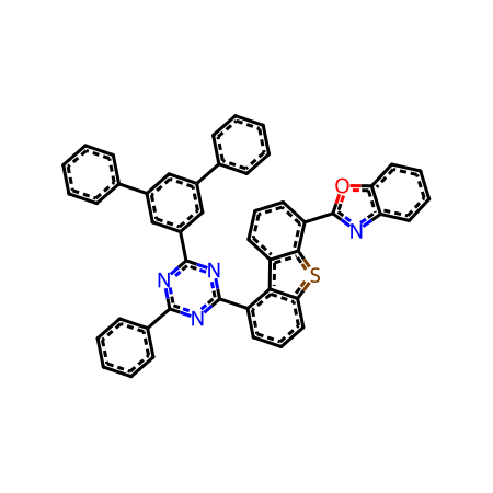 c1ccc(-c2cc(-c3ccccc3)cc(-c3nc(-c4ccccc4)nc(-c4cccc5sc6c(-c7nc8ccccc8o7)cccc6c45)n3)c2)cc1